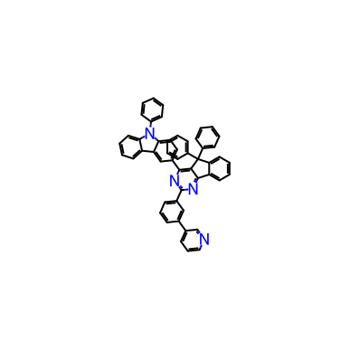 c1ccc(-n2c3ccccc3c3cc(-c4nc(-c5cccc(-c6cccnc6)c5)nc5c4C(c4ccccc4)(c4ccccc4)c4ccccc4-5)ccc32)cc1